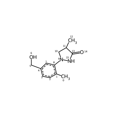 Cc1ccc(CO)cc1N1CC(C)C(=O)N1